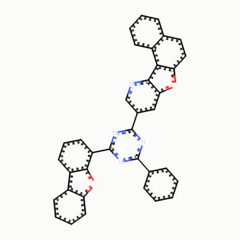 c1ccc(-c2nc(-c3cnc4c(c3)oc3ccc5ccccc5c34)nc(-c3cccc4c3oc3ccccc34)n2)cc1